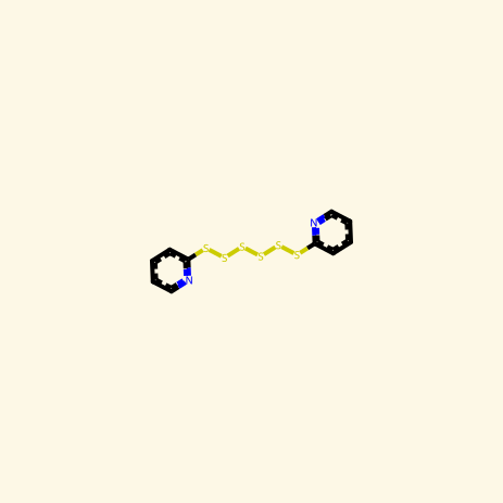 c1ccc(SSSSSSc2ccccn2)nc1